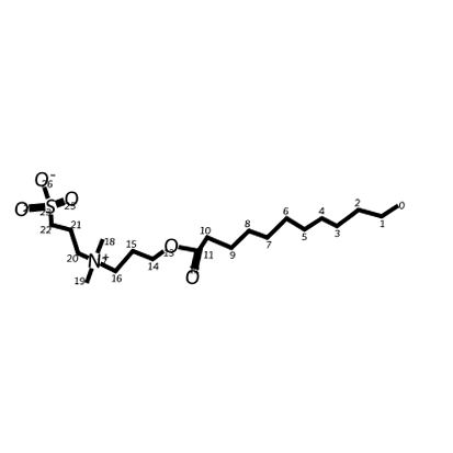 CCCCCCCCCCCC(=O)OCCC[N+](C)(C)CCCS(=O)(=O)[O-]